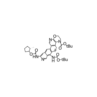 Cc1c(-c2cc3cc(NC(=O)O[C@H]4CCC[C@@H]4C)ncc3c(NC(=O)OC(C)(C)C)c2F)cnc2c1N(C(=O)OC(C)(C)C)CCO2